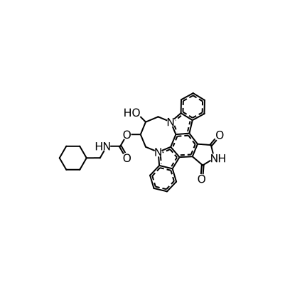 O=C(NCC1CCCCC1)OC1Cn2c3ccccc3c3c4c(c5c6ccccc6n(c5c32)CC1O)C(=O)NC4=O